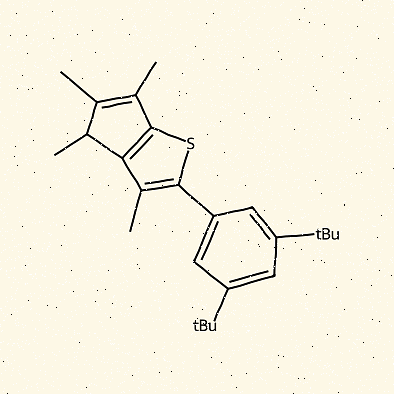 CC1=C(C)C(C)c2c1sc(-c1cc(C(C)(C)C)cc(C(C)(C)C)c1)c2C